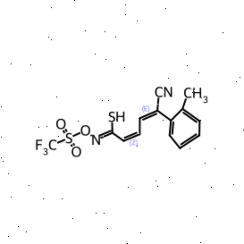 Cc1ccccc1/C(C#N)=C\C=C/C(S)=NOS(=O)(=O)C(F)(F)F